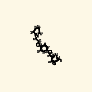 Cc1nc(COc2ccc(OCCN3CCCC3)cc2)cs1